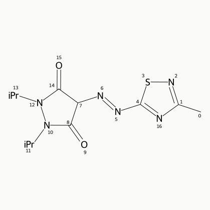 Cc1nsc(/N=N/C2C(=O)N(C(C)C)N(C(C)C)C2=O)n1